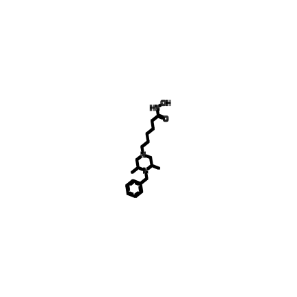 CC1CN(CCCCCC(=O)NO)CC(C)N1Cc1ccccc1